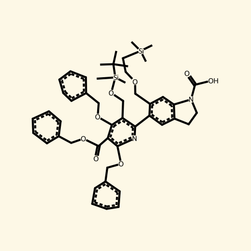 CC(C)(C)[Si](C)(C)OCc1c(-c2cc3c(cc2COCC[Si](C)(C)C)N(C(=O)O)CC3)nc(OCc2ccccc2)c(C(=O)OCc2ccccc2)c1OCc1ccccc1